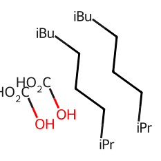 CCC(C)CCCC(C)C.CCC(C)CCCC(C)C.O=C(O)O.O=C(O)O